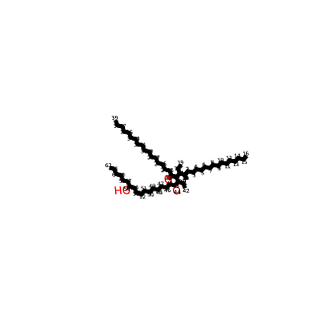 C=C(CCCCCCCCCCCCCCC)C(CC)C(C(=O)CCCCCCCCCCCCCCCCC)C(CC)C(=O)CCCCCCC/C=C\C[C@H](O)CCCCCC